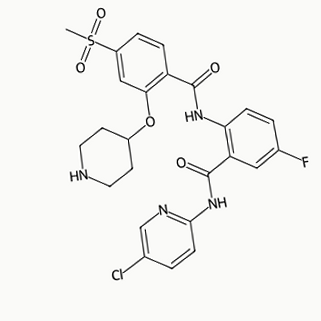 CS(=O)(=O)c1ccc(C(=O)Nc2ccc(F)cc2C(=O)Nc2ccc(Cl)cn2)c(OC2CCNCC2)c1